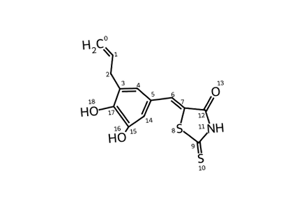 C=CCc1cc(/C=C2\SC(=S)NC2=O)cc(O)c1O